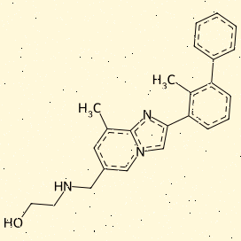 Cc1c(-c2ccccc2)cccc1-c1cn2cc(CNCCO)cc(C)c2n1